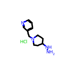 Cl.NNC1CCN(Cc2cccnc2)CC1